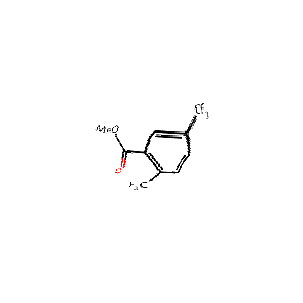 COC(=O)c1cc(C(F)(F)F)ccc1C(F)(F)F